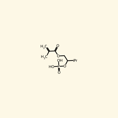 C=C(C)C(=O)OCC(OP(=O)(O)O)C(C)C